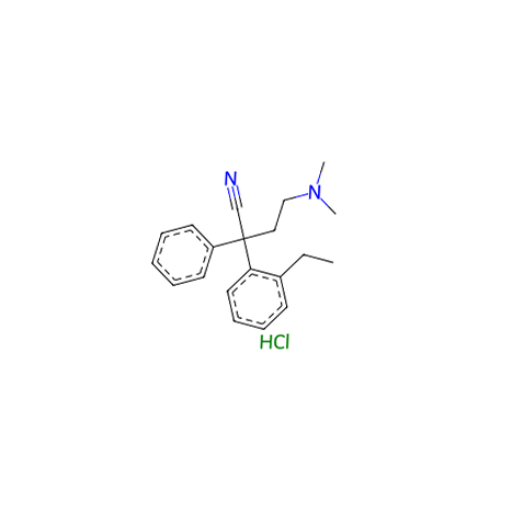 CCc1ccccc1C(C#N)(CCN(C)C)c1ccccc1.Cl